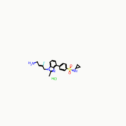 Cc1nc2c(-c3ccc(S(=O)(=O)NC4CC4)cc3)cccc2n1CC(F)=CCN.Cl